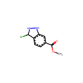 COC(=O)c1ccc2c(c1)NNC2Br